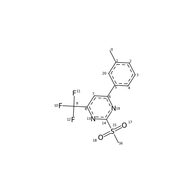 Cc1cccc(-c2cc(C(F)(F)F)nc(S(C)(=O)=O)n2)c1